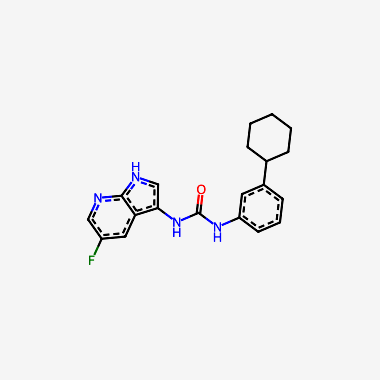 O=C(Nc1cccc(C2CCCCC2)c1)Nc1c[nH]c2ncc(F)cc12